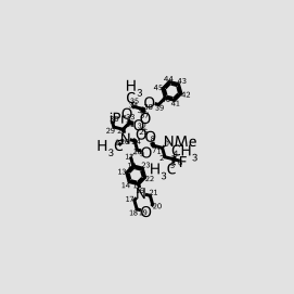 CN[C@@H](CC(C)(C)F)C(=O)O[C@H](Cc1ccc(N2CCOCC2)cc1)C(=O)N(C)C(CC(C)C)C(=O)O[C@H](C)C(=O)OCc1ccccc1